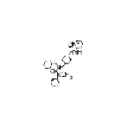 CN(C(=O)N(CC1CCCCC1)CC1CCC(CNc2cccc[n+]2[O-])CC1)c1ccccc1